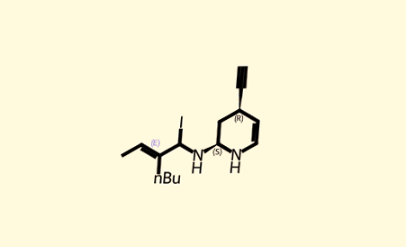 C#C[C@H]1C=CN[C@@H](NC(I)/C(=C/C)CCCC)C1